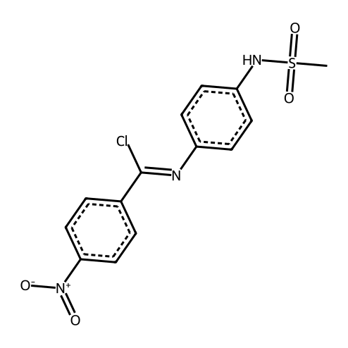 CS(=O)(=O)Nc1ccc(/N=C(\Cl)c2ccc([N+](=O)[O-])cc2)cc1